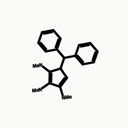 CNC1=C[C](C(c2ccccc2)c2ccccc2)C(NC)=C1NC